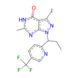 CCC(c1ccc(C(F)(F)F)cn1)n1nc(I)c2c(=O)[nH]c(C)nc21